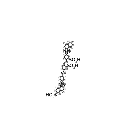 Cc1cc2nn(-c3ccc(C=Cc4ccc(N=Nc5ccc(-n6nc7ccc8cc(S(=O)(=O)O)ccc8c7n6)cc5)cc4S(=O)(=O)O)c(S(=O)(=O)O)c3)nc2c2ccccc12